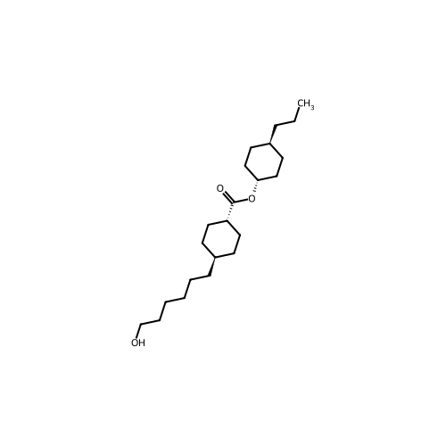 CCC[C@H]1CC[C@H](OC(=O)[C@H]2CC[C@H](CCCCCCO)CC2)CC1